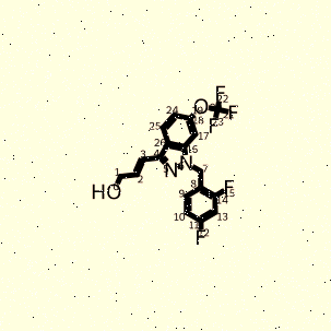 OCC=Cc1nn(Cc2ccc(F)cc2F)c2cc(OC(F)(F)F)ccc12